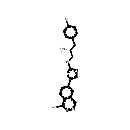 N[C@@H](CNc1ncc(-c2ccc3c(O)nncc3c2)s1)Cc1ccc(C(F)(F)F)cc1